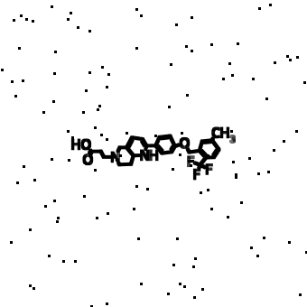 Cc1ccc(C(F)(F)F)c(COc2ccc(C3=CC=C4CN(CCC(=O)O)CCC4N3)cc2)c1